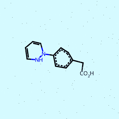 O=C(O)Cc1ccc(N2C=CC=CN2)cc1